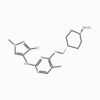 CC(=O)N[C@H]1CC[C@H](COc2nc(Nc3cn(C)nc3Cl)ncc2F)CC1